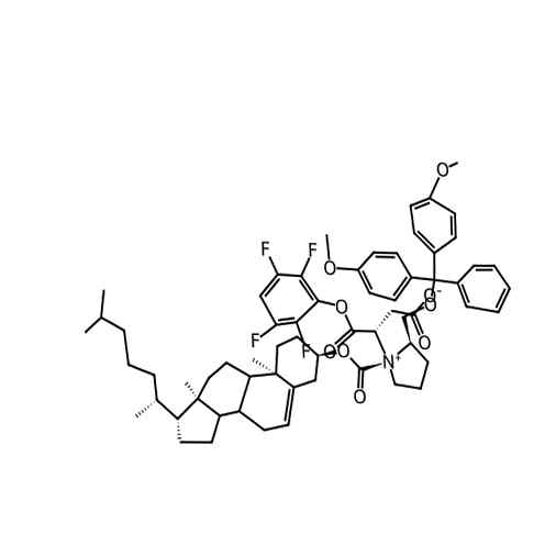 COc1ccc(C(OC[C@H]2CCC[N@+]2(C(=O)O[C@@H]2CC[C@@]3(C)C(=CCC4C3CC[C@@]3(C)C4CC[C@@H]3[C@H](C)CCCC(C)C)C2)[C@@H](CC(=O)[O-])C(=O)Oc2c(F)c(F)cc(F)c2F)(c2ccccc2)c2ccc(OC)cc2)cc1